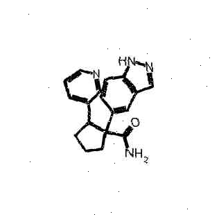 NC(=O)C1(c2ccc3[nH]ncc3c2)CCCC1c1cccnc1